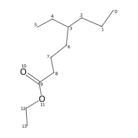 CCCC(CC)CCCC(=O)OCC